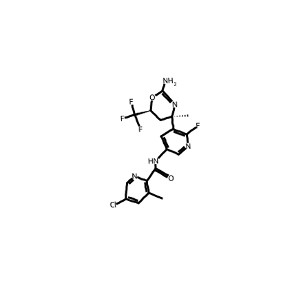 Cc1cc(Cl)cnc1C(=O)Nc1cnc(F)c([C@@]2(C)C[C@@H](C(F)(F)F)OC(N)=N2)c1